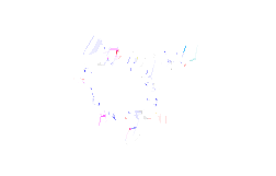 CNC(=O)C[C@@H]1NC(=O)c2csc(n2)-c2ccc(-c3nc(NC(=O)C(F)(F)F)cs3)nc2-c2csc(n2)-c2csc(n2)[C@H]([C@@H](O)c2ccccc2)NC(=O)CNC(=O)c2nc(sc2COC)NC(=O)c2nc1sc2C